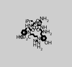 CC(C)C[C@H](NC(=O)[C@H](CC(N)=O)NC(=O)[C@@H](N)Cc1ccc(O)cc1)C(=O)N[C@@H](Cc1ccc(O)cc1)C(=O)N[C@@H](CCCNC(=N)N)C(=O)O